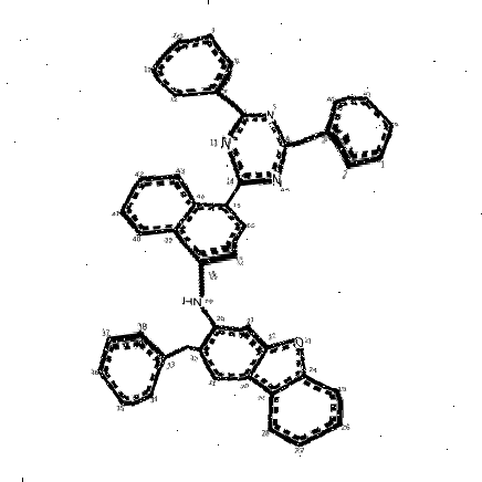 c1ccc(-c2nc(-c3ccccc3)nc(-c3ccc(Nc4cc5oc6ccccc6c5cc4-c4ccccc4)c4ccccc34)n2)cc1